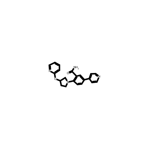 NC(=O)c1cc(-c2ccncc2)ccc1N1CCC(Oc2ccccn2)C1